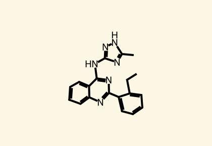 CCc1ccccc1-c1nc(Nc2n[nH]c(C)n2)c2ccccc2n1